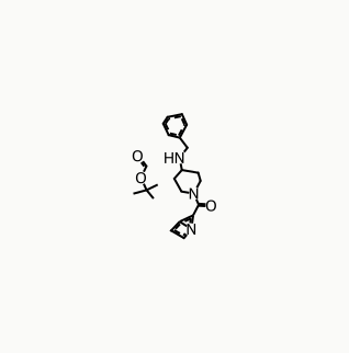 CC(C)(C)OC=O.O=C(c1c2ccn1-2)N1CCC(NCc2ccccc2)CC1